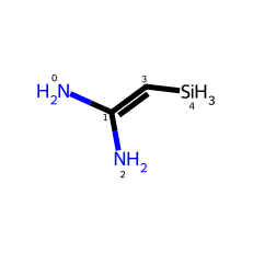 NC(N)=C[SiH3]